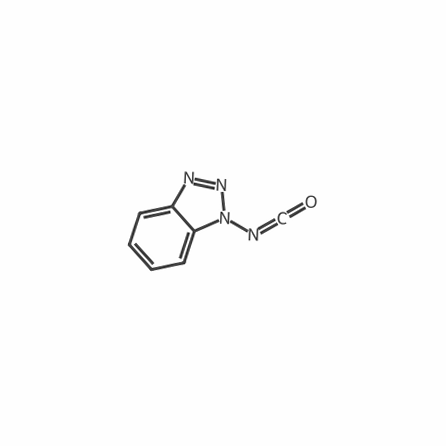 O=C=Nn1nnc2ccccc21